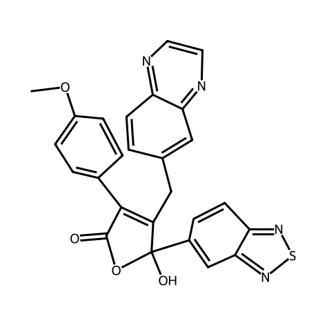 COc1ccc(C2=C(Cc3ccc4nccnc4c3)C(O)(c3ccc4nsnc4c3)OC2=O)cc1